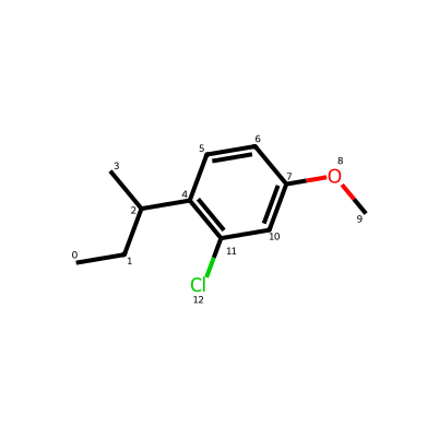 CCC(C)c1ccc(OC)cc1Cl